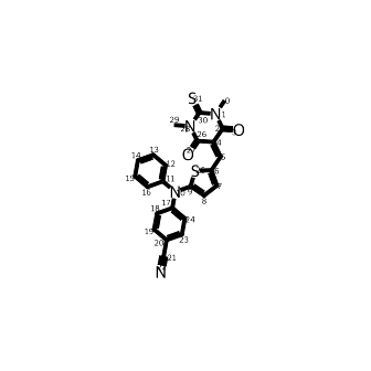 CN1C(=O)C(=Cc2ccc(N(c3ccccc3)c3ccc(C#N)cc3)s2)C(=O)N(C)C1=S